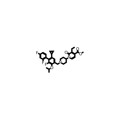 CCc1c(C(=O)OC)ccn(C2CCN(Cc3cc(C4CC4)c(-c4ccc(F)cc4F)c(F)c3OC(C)C)CC2)c1=O